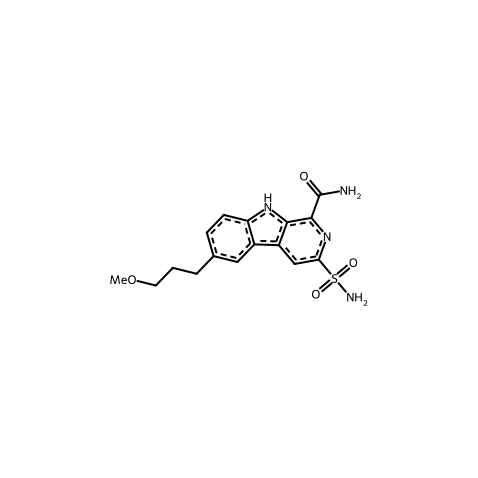 COCCCc1ccc2[nH]c3c(C(N)=O)nc(S(N)(=O)=O)cc3c2c1